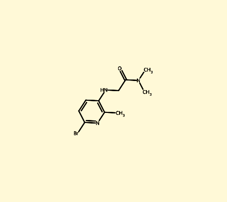 Cc1nc(Br)ccc1NCC(=O)N(C)C